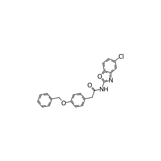 O=C(Cc1ccc(OCc2ccccc2)cc1)Nc1nc2cc(Cl)ccc2o1